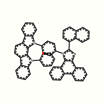 c1ccc(-n2c3ccccc3c3ccc4c5ccccc5n(-c5ccc(-n6c(-c7cccc8ccccc78)nc7c8ccccc8c8ccccc8c76)cc5)c4c32)cc1